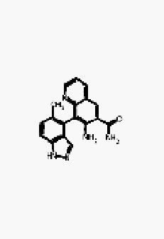 Cc1ccc2[nH]ncc2c1-c1c(N)c(C(N)=O)cc2cccnc12